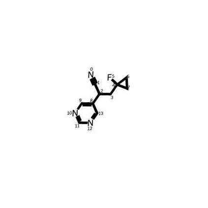 N#CC(CC1(F)CC1)c1cncnc1